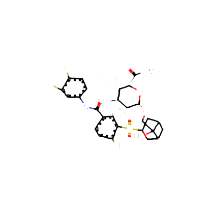 COC(=O)[C@H]1O[C@@H](OCC2(O)C3CC2CC(S(=O)(=O)c2cc(C(=O)Nc4ccc(F)c(F)c4)ccc2Cl)C3)[C@H](OC(C)=O)[C@@H](OC(C)=O)[C@@H]1OC(C)=O